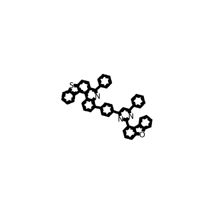 c1ccc(-c2cc(-c3ccc(-c4cccc5c4nc(-c4ccccc4)c4ccc6sc7ccccc7c6c45)cc3)nc(-c3cccc4oc5ccccc5c34)n2)cc1